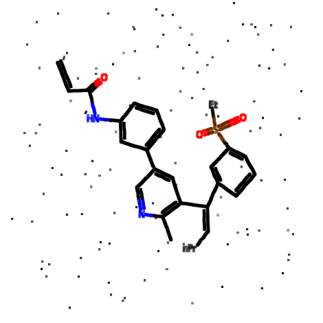 C=CC(=O)Nc1cccc(-c2cnc(C)c(/C(=C\CCC)c3cccc(S(=O)(=O)CC)c3)c2)c1